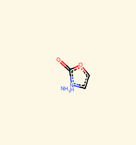 N.O=c1[nH]cco1